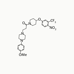 COc1ccc(N2CCN(CCC(=O)N3CCC(Oc4ccc([N+](=O)[O-])c(C(F)(F)F)c4)CC3)CC2)cc1